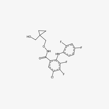 O=C(NOCC1(CO)CC1)c1cc(Cl)c(F)c(F)c1Nc1ccc(F)cc1F